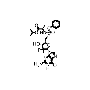 CC(C)OC(=O)[C@@H](C)N[P@](=O)(OC[C@H]1O[C@@H](n2cnc3c(=O)[nH]c(N)nc32)[C@](C)(F)[C@@H]1O)Oc1ccccc1